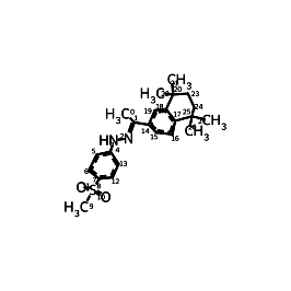 C/C(=N\Nc1ccc(S(C)(=O)=O)cc1)c1ccc2c(c1)C(C)(C)CCC2(C)C